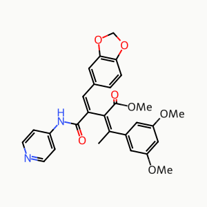 COC(=O)C(=C(/C)c1cc(OC)cc(OC)c1)/C(=C\c1ccc2c(c1)OCO2)C(=O)Nc1ccncc1